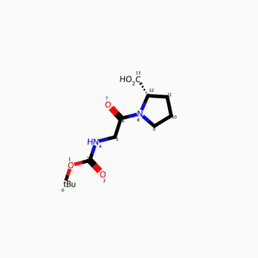 CC(C)(C)OC(=O)NCC(=O)N1CCC[C@H]1C(=O)O